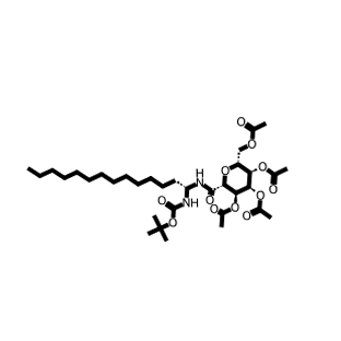 CCCCCCCCCCCCC[C@@H](NC(=O)OC(C)(C)C)NC(=O)[C@@H]1O[C@H](COC(C)=O)[C@H](OC(C)=O)[C@H](OC(C)=O)[C@H]1OC(C)=O